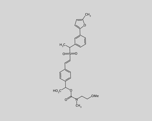 COCCN(C)C(=O)OC(C(=O)O)c1ccc(C=CS(=O)(=O)C(C)c2cccc(-c3ccc(C)o3)c2)cc1